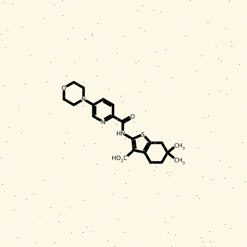 CC1(C)CCc2c(sc(NC(=O)c3ccc(N4CCOCC4)cn3)c2C(=O)O)C1